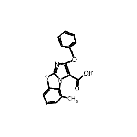 Cc1cccc2sc3nc(Oc4ccccc4)c(C(=O)O)n3c12